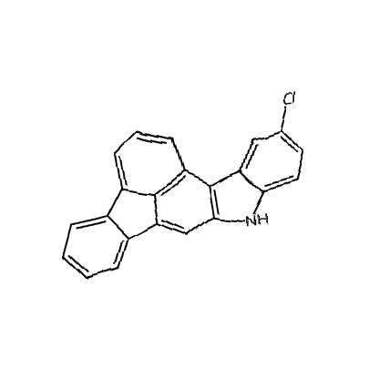 Clc1ccc2[nH]c3cc4c5c(cccc5c3c2c1)-c1ccccc1-4